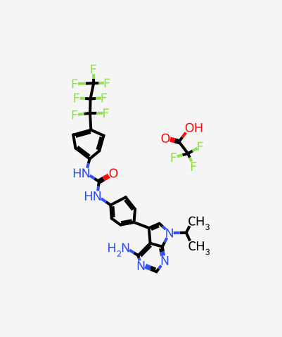 CC(C)n1cc(-c2ccc(NC(=O)Nc3ccc(C(F)(F)C(F)(F)C(F)(F)F)cc3)cc2)c2c(N)ncnc21.O=C(O)C(F)(F)F